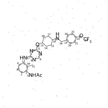 CC(=O)Nc1cccc(Nc2ncnc(OC3CCC(NCc4ccc(OC(F)(F)F)cc4)CC3)n2)c1C